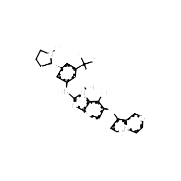 CN1CCC[C@@H]1c1cc(Nc2nc3ncc(Oc4cnn5ccncc45)c(Cl)c3n2C)cc(C(F)(F)F)c1